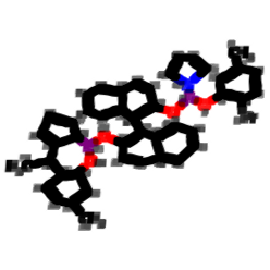 Cc1ccc(C(C)C)c(OP(Oc2ccc3ccccc3c2-c2c(OP3Oc4cc(C)ccc4C(C)C4=CC=CC43)ccc3ccccc23)n2cccc2)c1